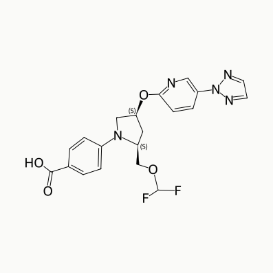 O=C(O)c1ccc(N2C[C@@H](Oc3ccc(-n4nccn4)cn3)C[C@H]2COC(F)F)cc1